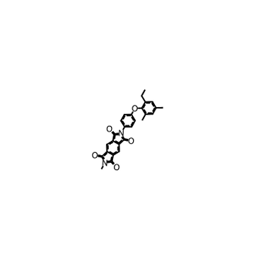 CCc1cc(C)cc(C)c1Oc1ccc(-n2c(=O)c3cc4c(=O)n(C)c(=O)c4cc3c2=O)cc1